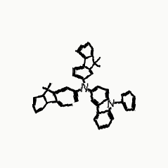 C=C(/C=C1\C(=C/C)C2C=CC=CC2C1(C)C)N(c1ccc2c(c1)C(C)(C)c1ccccc1-2)c1ccc2c(c1)c1ccccc1n2-c1ccccc1